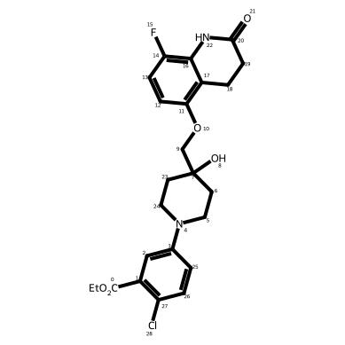 CCOC(=O)c1cc(N2CCC(O)(COc3ccc(F)c4c3CCC(=O)N4)CC2)ccc1Cl